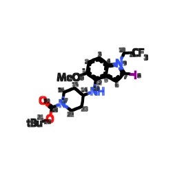 COc1ccc2c(cc(I)n2CC(F)(F)F)c1NC1CCN(C(=O)OC(C)(C)C)CC1